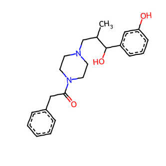 CC(CN1CCN(C(=O)Cc2ccccc2)CC1)C(O)c1cccc(O)c1